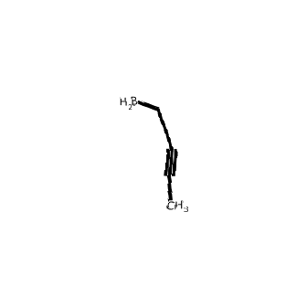 BCC#CC